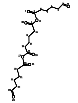 O=CCCCCC(=O)OC(=O)CCCCC(=O)OC(=O)CCCCC=O